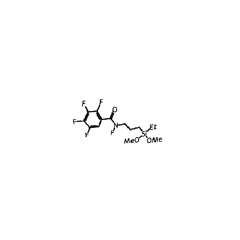 CC[Si](CCCN(F)C(=O)c1cc(F)c(F)c(F)c1F)(OC)OC